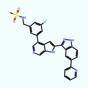 CS(=O)(=O)NCc1cc(F)cc(-c2cncc3[nH]c(-c4n[nH]c5ccc(-c6ccccn6)cc45)cc23)c1